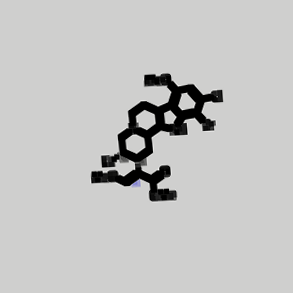 CC[C@@H]1CN2CCc3c([nH]c4c(Br)c(Cl)cc(OC)c34)C2C[C@@H]1/C(=C\OC)C(=O)OC